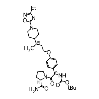 CCc1noc(N2CCC([C@H](C)CCOc3ccc([C@H](NC(=O)OC(C)(C)C)C(=O)N4CCC[C@H]4C(N)=O)cc3)CC2)n1